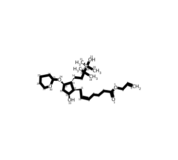 C=CCOC(=O)CCC/C=C\C[C@@H]1[C@@H](CCC(C)(C)[Si](C)(C)O)[C@H](OC2CCCCO2)C[C@@H]1O